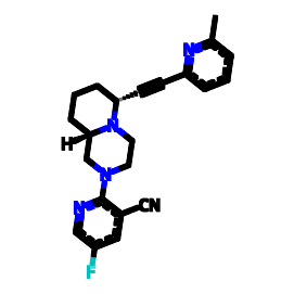 Cc1cccc(C#C[C@H]2CCC[C@H]3CN(c4ncc(F)cc4C#N)CCN32)n1